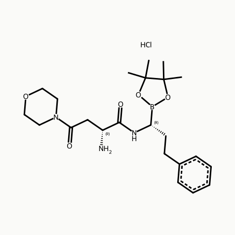 CC1(C)OB([C@H](CCc2ccccc2)NC(=O)[C@H](N)CC(=O)N2CCOCC2)OC1(C)C.Cl